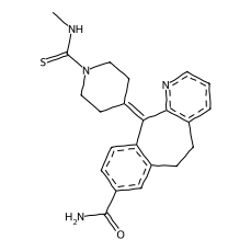 CNC(=S)N1CCC(=C2c3ccc(C(N)=O)cc3CCc3cccnc32)CC1